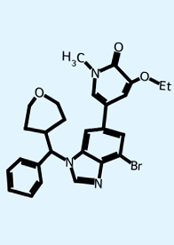 CCOc1cc(-c2cc(Br)c3ncn(C(c4ccccc4)C4CCOCC4)c3c2)cn(C)c1=O